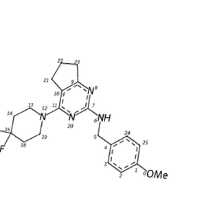 COc1ccc(CNc2nc3c(c(N4CCC(F)(F)CC4)n2)CCC3)cc1